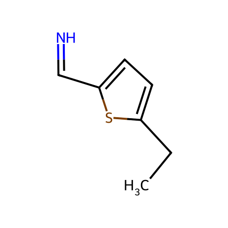 CCc1ccc(C=N)s1